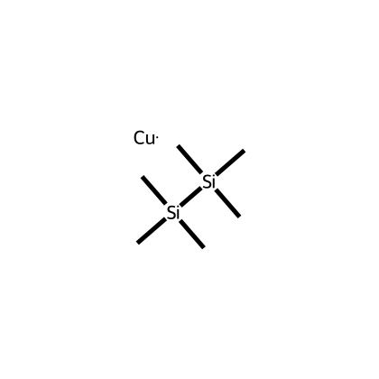 C[Si](C)(C)[Si](C)(C)C.[Cu]